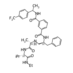 CCNC(=O)[C@@H](NC(=O)[C@H](C)NC[C@H](Cc1ccccc1)NC(=O)c1cccc(C(=O)NC(C)c2ccc(C(F)(F)F)cc2)c1)C(C)C